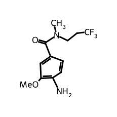 COc1cc(C(=O)N(C)CCC(F)(F)F)ccc1N